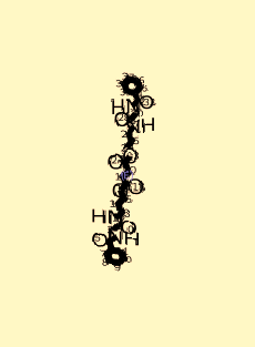 O=C(CNC(=O)c1ccccc1)NCCCOC(=O)/C=C/C(=O)OCCCNC(=O)CNC(=O)c1ccccc1